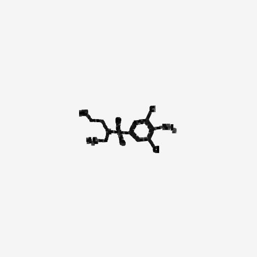 CCN(CCO)S(=O)(=O)c1cc(Cl)c(N)c(Cl)c1